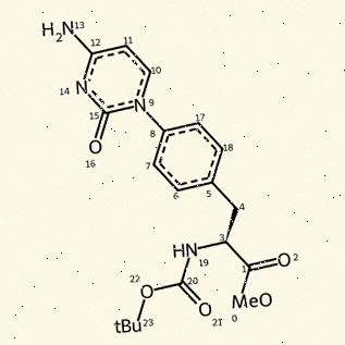 COC(=O)[C@H](Cc1ccc(-n2ccc(N)nc2=O)cc1)NC(=O)OC(C)(C)C